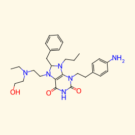 CCCN1c2c(c(=O)[nH]c(=O)n2CCc2ccc(N)cc2)N(CCN(CC)CCO)C1Cc1ccccc1